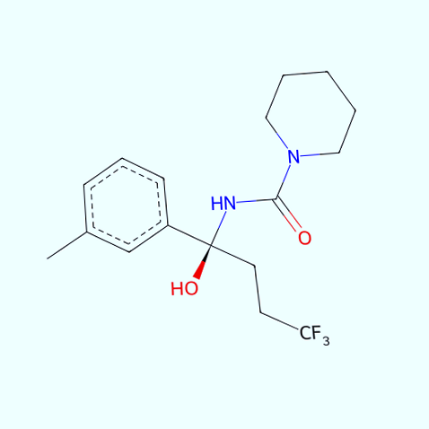 Cc1cccc([C@@](O)(CCC(F)(F)F)NC(=O)N2CCCCC2)c1